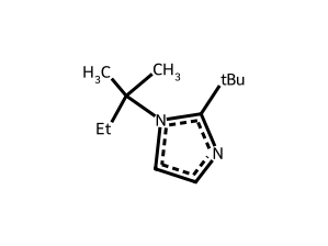 CCC(C)(C)n1ccnc1C(C)(C)C